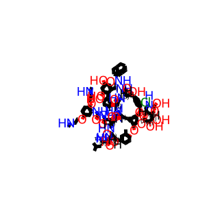 CNCCOc1ccc(OCCNC)c(NC(=O)NC(=O)C[C@@H]2NC(=O)[C@H](NC(=O)[C@@H](CC(C)C)NC)[C@H](O)c3ccc(c(C)c3)Oc3cc4cc(c3O[C@@H]3O[C@@H]5CNC(O)O[C@H]5[C@H](O)[C@H]3O)Oc3ccc(cc3Cl)[C@@H](O)[C@@H]3NC(=O)[C@H](NC(=O)[C@@H]4NC2=O)c2ccc(O)c(c2)-c2c(O)cc(O)cc2[C@@H](C(=O)NC2C4CC5CC(C4)CC2C5)NC3=O)c1